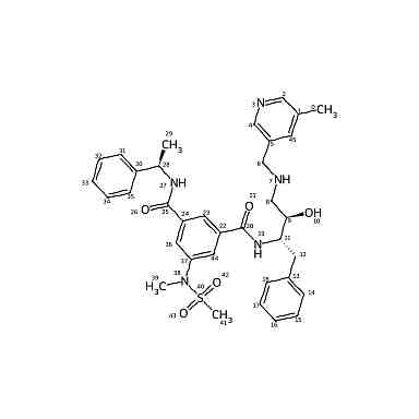 Cc1cncc(CNC[C@@H](O)[C@H](Cc2ccccc2)NC(=O)c2cc(C(=O)N[C@H](C)c3ccccc3)cc(N(C)S(C)(=O)=O)c2)c1